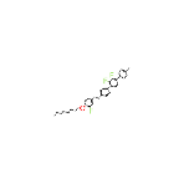 CCCCCCCCOc1ccc(CCc2ccc(-c3ccc(-c4ccc(C)cc4)c(F)c3F)cc2)cc1F